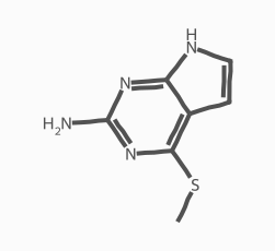 CSc1nc(N)nc2[nH]ccc12